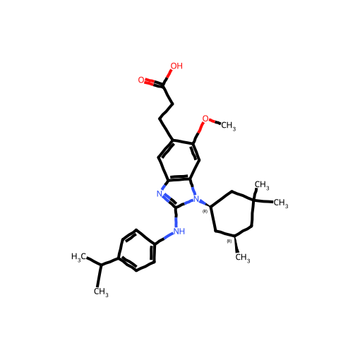 COc1cc2c(cc1CCC(=O)O)nc(Nc1ccc(C(C)C)cc1)n2[C@@H]1C[C@H](C)CC(C)(C)C1